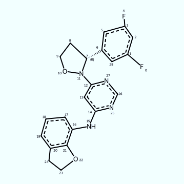 Fc1cc(F)cc([C@H]2CCON2c2cc(Nc3cccc4c3OCC4)ncn2)c1